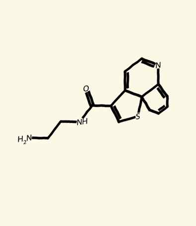 NCCNC(=O)C1=CSC23CC=CC=C2N=CC=C13